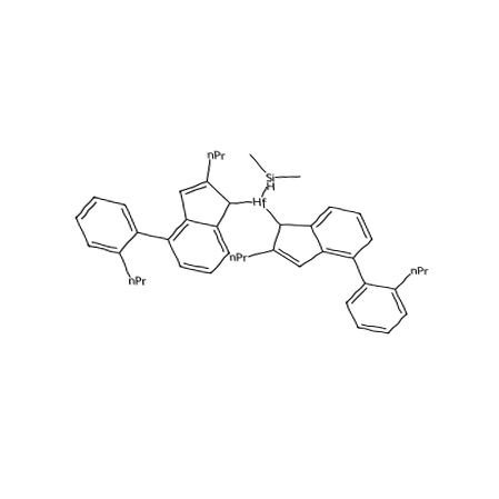 CCCC1=Cc2c(-c3ccccc3CCC)cccc2[CH]1[Hf]([CH]1C(CCC)=Cc2c(-c3ccccc3CCC)cccc21)[SiH](C)C